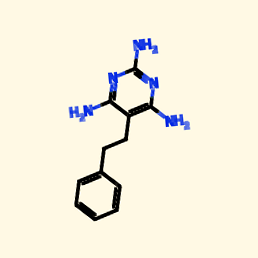 Nc1nc(N)c(CCc2ccccc2)c(N)n1